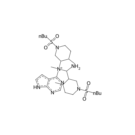 CCCCS(=O)(=O)N1CCC(C)C(C(N)[N+](C)(c2ncnc3[nH]ccc23)C2CN(S(=O)(=O)CCCC)CCC2C)C1